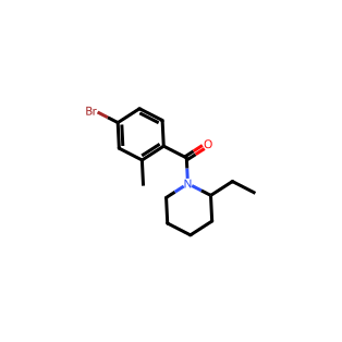 CCC1CCCCN1C(=O)c1ccc(Br)cc1C